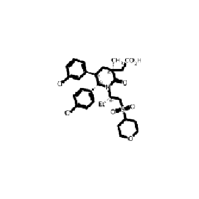 CC[C@@H](CS(=O)(=O)C1CCOCC1)N1C(=O)[C@](C)(CC(=O)O)C[C@H](c2cccc(Cl)c2)[C@H]1c1ccc(Cl)cc1